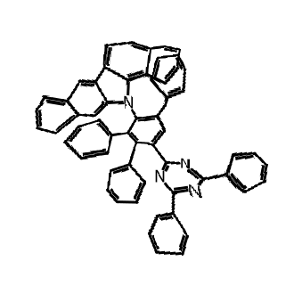 c1ccc(-c2nc(-c3ccccc3)nc(-c3cc(-c4ccccc4)c(-n4c5cc6ccccc6cc5c5ccc6ccccc6c54)c(-c4ccccc4)c3-c3ccccc3)n2)cc1